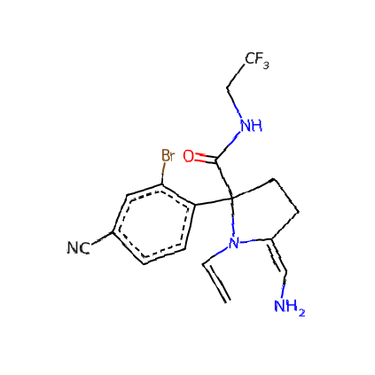 C=CN1/C(=C\N)CCC1(C(=O)NCC(F)(F)F)c1ccc(C#N)cc1Br